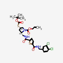 C=CCOC(=O)N1C[C@@H](SC(=O)OC(C)(C)C)C[C@H]1CNC(=O)c1ccc(C(=O)NCc2ccc(Cl)c(Cl)c2)s1